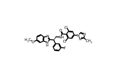 COc1ccc2nc([C@@H](CNC(=O)c3c(Cl)cc(-n4cnc(C)n4)cc3Cl)c3cccc(F)c3)[nH]c2c1